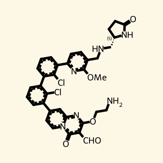 COc1nc(-c2cccc(-c3cccc(-c4ccn5c(=O)c(C=O)c(OCCN)nc5c4)c3Cl)c2Cl)ccc1CNC[C@@H]1CCC(=O)N1